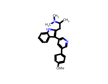 COc1ccc(-c2cncc(-c3c(CC(C)N(C)C)[nH]c4ccccc34)c2)cc1